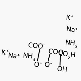 N.N.O=C(O)O.O=C([O-])[O-].O=C([O-])[O-].[K+].[K+].[Na+].[Na+]